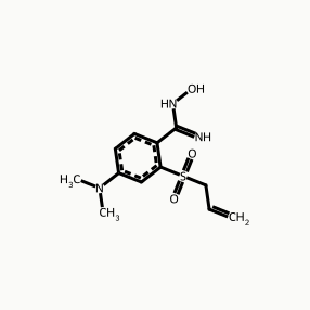 C=CCS(=O)(=O)c1cc(N(C)C)ccc1C(=N)NO